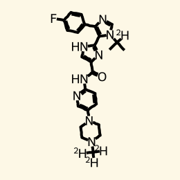 [2H]C([2H])([2H])N1CCN(c2ccc(NC(=O)c3c[nH]c(-c4c(-c5ccc(F)cc5)ncn4C([2H])(C)C)n3)nc2)CC1